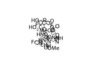 COC(=O)CCC(NC(=O)C(Cc1cn(C)c2ccc(F)cc12)NC(=O)c1ccc(-c2c3cc(F)c(=O)cc-3oc3cc(O)c(F)cc23)c(C(=O)O)c1)C(=O)NC(Cc1c[nH]cn1)C(=O)NC(CC(=O)OC)C(=O)COC(=O)c1ccccc1